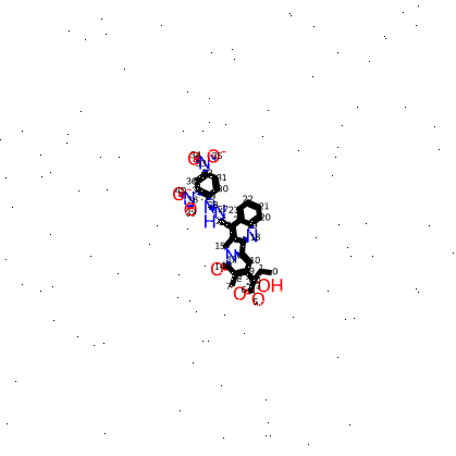 CC[C@@]1(O)C(=O)OCc2c1cc1n(c2=O)Cc2c-1nc1ccccc1c2C=NNc1ccc([N+](=O)[O-])cc1[N+](=O)[O-]